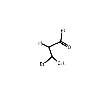 CCC(=O)C(Cl)C(C)CC